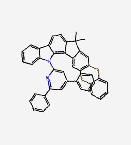 CC1(C)c2cc3c(cc2-c2c1ccc1c4ccccc4n(-c4cc(-c5ccccc5)cc(-c5ccccc5)n4)c21)Sc1ccccc1S3